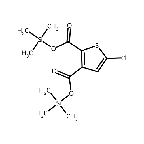 C[Si](C)(C)OC(=O)c1cc(Cl)sc1C(=O)O[Si](C)(C)C